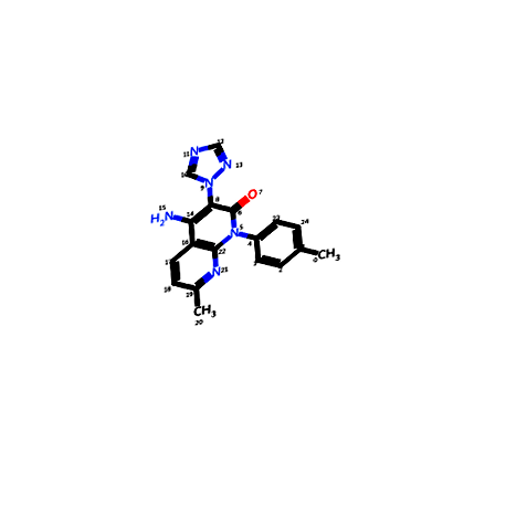 Cc1ccc(-n2c(=O)c(-n3cncn3)c(N)c3ccc(C)nc32)cc1